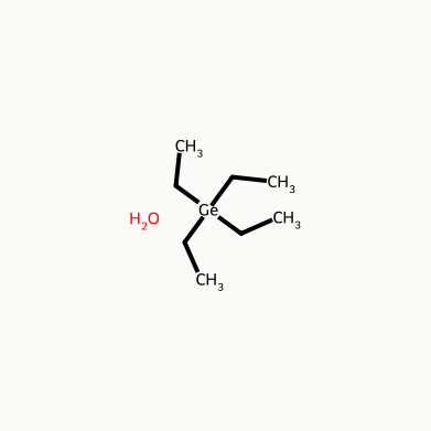 C[CH2][Ge]([CH2]C)([CH2]C)[CH2]C.O